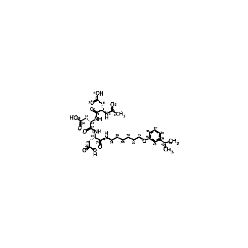 CC(=O)N[C@@H](CC(=O)O)C(=O)N[C@@H](CC(=O)O)C(=O)N[C@@H](CC(=O)O)C(=O)NCCCCCCOc1cccc(C(C)C)c1